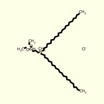 CCCCCCCCCCCCCCCCCCCCCC[N+](C)(CCCCCCCCCCCCCCCCCCCCCC)CCC[SiH](OCC)OCC.[Cl-]